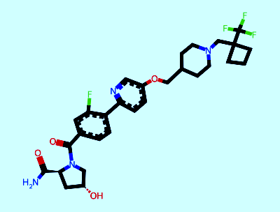 NC(=O)[C@@H]1C[C@@H](O)CN1C(=O)c1ccc(-c2ccc(OCC3CCN(CC4(C(F)(F)F)CCC4)CC3)cn2)c(F)c1